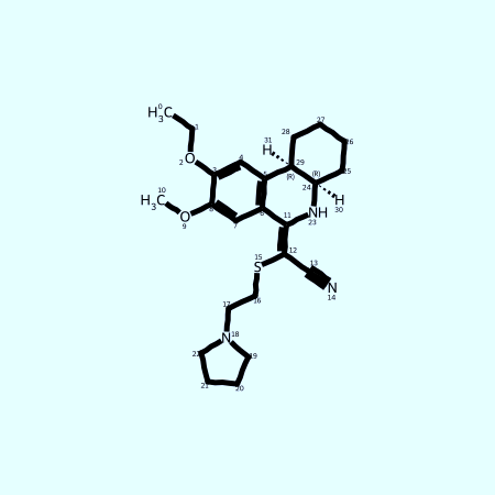 CCOc1cc2c(cc1OC)C(=C(C#N)SCCN1CCCC1)N[C@@H]1CCCC[C@H]21